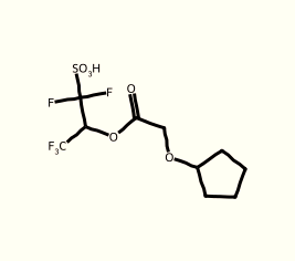 O=C(COC1CCCC1)OC(C(F)(F)F)C(F)(F)S(=O)(=O)O